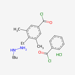 CC(C)(C)NN.CCc1c(C)cc(C(=O)Cl)cc1C.Cl.O=C(Cl)c1ccccc1